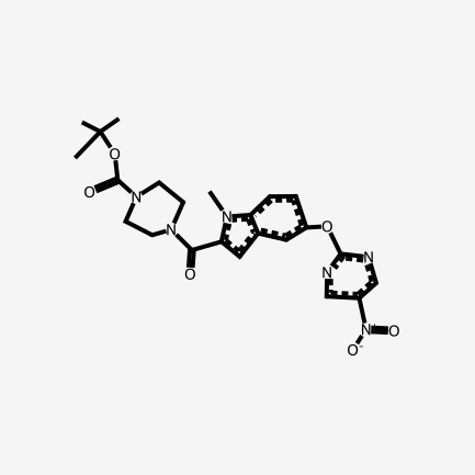 Cn1c(C(=O)N2CCN(C(=O)OC(C)(C)C)CC2)cc2cc(Oc3ncc([N+](=O)[O-])cn3)ccc21